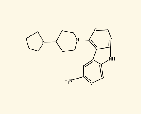 Nc1cc2c(cn1)[nH]c1nccc(N3CCC(N4CCCC4)CC3)c12